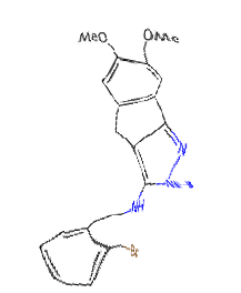 COc1cc2c(cc1OC)-c1n[nH]c(NCc3ccccc3Br)c1C2